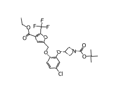 CCOC(=O)c1cc(COc2ccc(Cl)cc2OC2CN(C(=O)OC(C)(C)C)C2)oc1C(F)(F)F